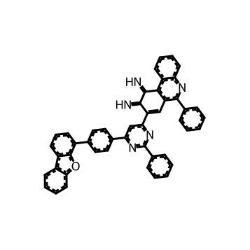 N=C1C(=N)c2c(c(-c3ccccc3)nc3ccccc23)C=C1c1cc(-c2ccc(-c3cccc4c3oc3ccccc34)cc2)nc(-c2ccccc2)n1